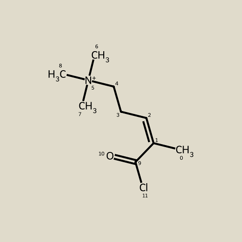 CC(=CCC[N+](C)(C)C)C(=O)Cl